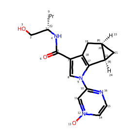 CC(C)[C@@H](CO)NC(=O)c1cn(-c2c[n+]([O-])ccn2)c2c1C[C@H]1C[C@@H]21